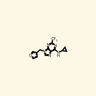 FC(F)(F)c1nc(NC2CC2)c2ncn(Cc3ccoc3)c2n1